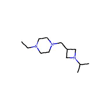 CCN1CCN(CC2CN(C(C)C)C2)CC1